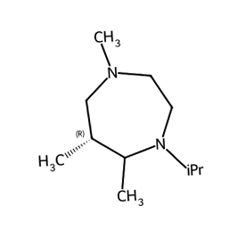 CC(C)N1CCN(C)C[C@@H](C)C1C